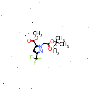 COC(=O)c1cc(C(F)(F)F)nn1CC(=O)OC(C)(C)C